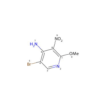 COc1ncc(Br)c(N)c1[N+](=O)[O-]